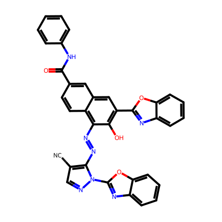 N#Cc1cnn(-c2nc3ccccc3o2)c1/N=N/c1c(O)c(-c2nc3ccccc3o2)cc2cc(C(=O)Nc3ccccc3)ccc12